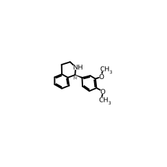 COc1ccc([C@@H]2NCCc3ccccc32)cc1OC